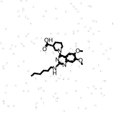 CCCCCCNc1nc(N2CCCC(C(=O)O)C2)c2cc(OC)c(OC)cc2n1